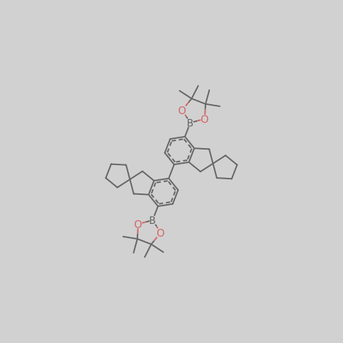 CC1(C)OB(c2ccc(-c3ccc(B4OC(C)(C)C(C)(C)O4)c4c3CC3(CCCC3)C4)c3c2CC2(CCCC2)C3)OC1(C)C